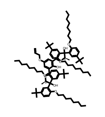 C=CCOc1cc(C=N[C@H](C)C(O)(c2cc(C(C)(C)C)ccc2OCCCCCCCC)c2cc(C(C)(C)C)ccc2OCCCCCCCC)c(O)c(C=N[C@H](C)C(O)(c2cc(C(C)(C)C)ccc2OCCCCCCCC)c2cc(C(C)(C)C)ccc2OCCCCCCCC)c1